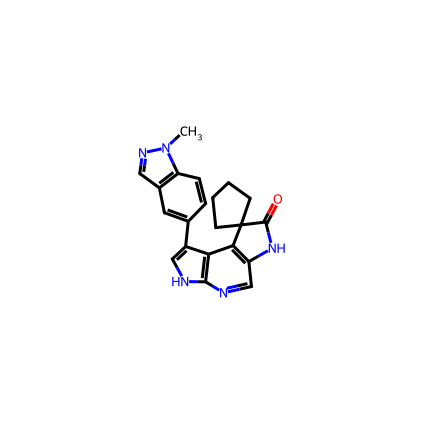 Cn1ncc2cc(-c3c[nH]c4ncc5c(c34)C3(CCCC3)C(=O)N5)ccc21